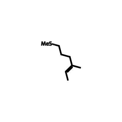 [CH2]SCCCC(C)=CC